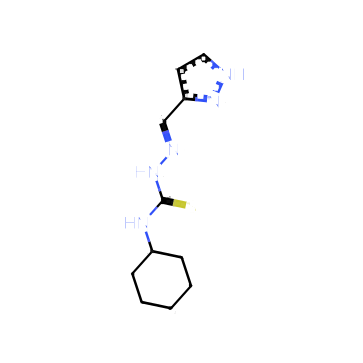 S=C(NN=Cc1cc[nH]n1)NC1CCCCC1